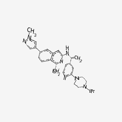 Bc1nc(NC(=C)c2ccnc(N3CCN(C(C)C)CC3)c2)cc2cc(-c3cnn(C)c3)ccc12